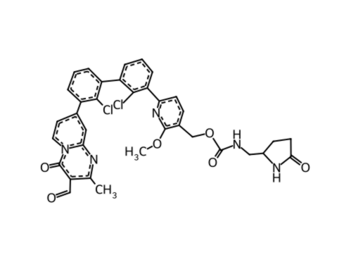 COc1nc(-c2cccc(-c3cccc(-c4ccn5c(=O)c(C=O)c(C)nc5c4)c3Cl)c2Cl)ccc1COC(=O)NCC1CCC(=O)N1